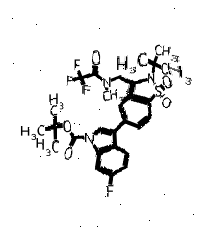 CN(CC1c2cc(-c3cn(C(=O)OC(C)(C)C)c4cc(F)ccc34)ccc2S(=O)(=O)N1C(C)(C)C)C(=O)C(F)(F)F